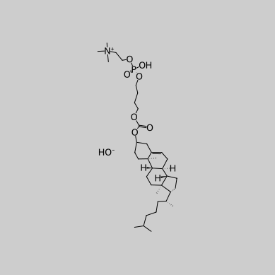 CC(C)CCC[C@@H](C)[C@H]1CC[C@H]2[C@@H]3CC=C4CC(OC(=O)OCCCCOP(=O)(O)OCC[N+](C)(C)C)CC[C@]4(C)[C@H]3CC[C@]12C.[OH-]